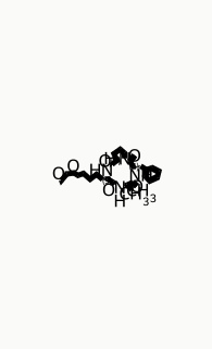 CC1(C)NC(=O)[C@H](CCCCCC(=O)C2CO2)NC(=O)[C@H]2CCCN2C(=O)[C@H](Cc2ccccc2)NC1=O